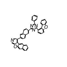 c1ccc(-c2nc(-c3ccc4cc(-c5cncc6oc7cc8ccccc8cc7c56)ccc4c3)nc(-c3cccc4oc5ccccc5c34)n2)cc1